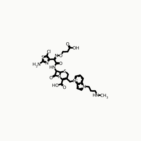 CNCCCn1ccc2c1ccc[n+]2CC1=C(C(=O)O)N2C(=O)C(NC(=O)/C(=N\OCCC(=O)O)c3nc(N)sc3Cl)C2SC1